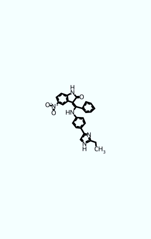 CCc1nc(-c2ccc(NC(=C3C(=O)Nc4ccc([N+](=O)[O-])cc43)c3ccccc3)cc2)c[nH]1